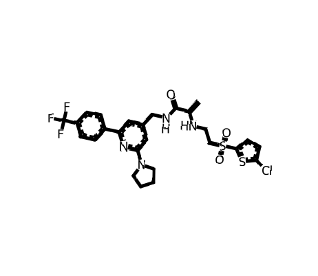 C=C(NCCS(=O)(=O)c1ccc(Cl)s1)C(=O)NCc1cc(-c2ccc(C(F)(F)F)cc2)nc(N2CCCC2)c1